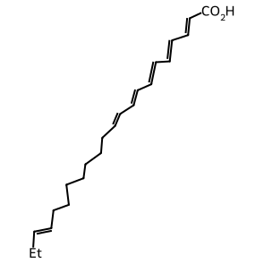 CCC=CCCCCCCCC=CC=CC=CC=CC=CC(=O)O